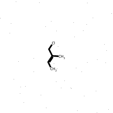 [CH2]/C=C(\C)CCl